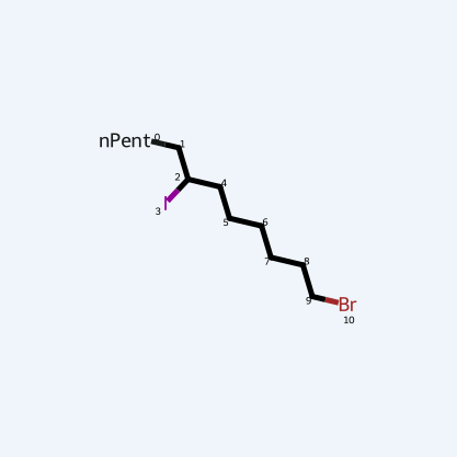 CCCCCCC(I)CCCCCCBr